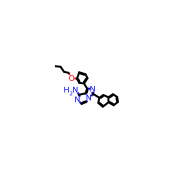 CCCCOc1cccc(-c2nc(-c3ccc4ccccc4c3)n3ccnc(N)c23)c1